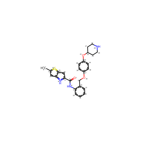 Cc1cc2[nH]c(C(=O)Nc3ccccc3COc3ccc(OC4CCNCC4)cc3)cc2s1